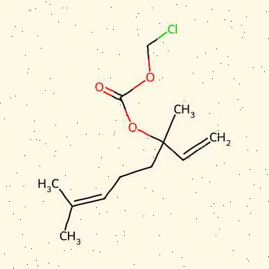 C=CC(C)(CCC=C(C)C)OC(=O)OCCl